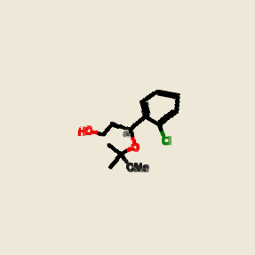 COC(C)(C)O[C@@H](CCO)c1ccccc1Cl